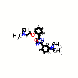 CN(C)CCOc1ccccc1-c1nc(-c2cccc(N(C)C)c2)no1